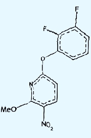 COc1nc(Oc2cccc(F)c2F)ccc1[N+](=O)[O-]